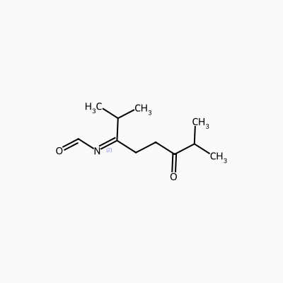 CC(C)C(=O)CC/C(=N/C=O)C(C)C